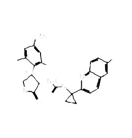 COc1cc(F)c([C@@H]2CNC(=O)[C@H]2NC(=O)NC2(c3ccc4cc(Cl)ccc4n3)CC2)c(F)c1